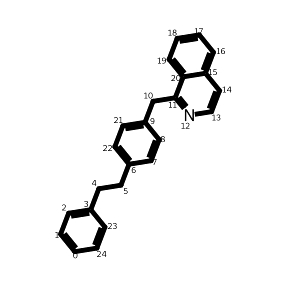 c1ccc(CCc2ccc(Cc3nccc4ccccc34)cc2)cc1